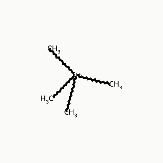 CCCCCCCCCCCCCCCCC[N+](CCCCCCCCCCCCCCC)(CCCCCCCCCCCCCCCCC)CCCCCCCCCCCCCCCCC